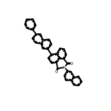 O=C1c2cccc3c(-c4ccc5cc(-c6ccccc6)ccc5c4)ccc(c23)C(=O)N1c1ccc2ccccc2c1